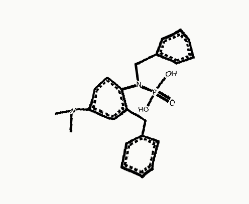 CN(C)c1ccc(N(Cc2ccccc2)P(=O)(O)O)c(Cc2ccccc2)c1